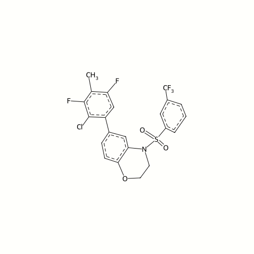 Cc1c(F)cc(-c2ccc3c(c2)N(S(=O)(=O)c2cccc(C(F)(F)F)c2)CCO3)c(Cl)c1F